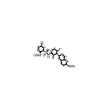 CNc1ccc2cc(-c3c(F)cnc(NS(=O)(=O)c4cc(Cl)cnc4OC)c3F)ncc2n1